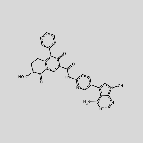 Cn1cc(-c2ccc(NC(=O)c3cc4c(n(-c5ccccc5)c3=O)CCN(C(=O)O)C4=O)nc2)c2c(N)ncnc21